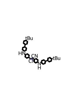 CC(C)(C)c1ccc(-c2ccc(Nc3ccc(/C(C#N)=C(\C#N)c4ccc(Nc5ccc(-c6ccc(C(C)(C)C)cc6)cc5)cc4)cc3)cc2)cc1